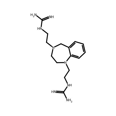 N=C(N)NCCN1CCN(CCNC(=N)N)c2ccccc2C1